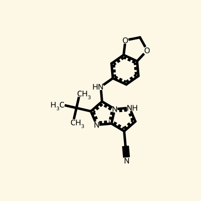 CC(C)(C)c1nc2c(C#N)c[nH]n2c1Nc1ccc2c(c1)OCO2